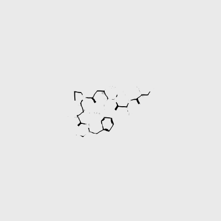 CC[C@H](C)[C@@H]([C@@H](CC(=O)N1CCC[C@H]1[C@H](OC)[C@@H](C)C(=O)N[C@H](CO)Cc1ccccc1)OC)N(C)C(=O)[C@@H](NC(=O)[C@@H](N)CO)C(C)C